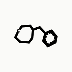 c1ccc(CC2CCCCCCC2)cc1